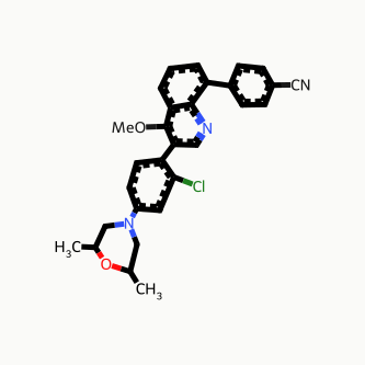 COc1c(-c2ccc(N3CC(C)OC(C)C3)cc2Cl)cnc2c(-c3ccc(C#N)cc3)cccc12